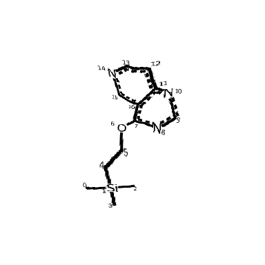 C[Si](C)(C)CCOc1ncnc2ccncc12